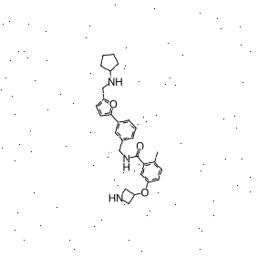 Cc1ccc(OC2CNC2)cc1C(=O)N[C@H](C)c1cccc(-c2ccc(CNC3CCCC3)o2)c1